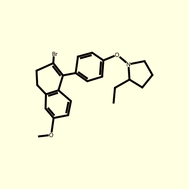 CCC1CCCN1Oc1ccc(C2=C(Br)CCc3cc(OC)ccc32)cc1